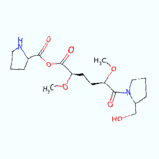 CO[C@H](CC[C@@H](OC)C(=O)N1CCCC1CO)C(=O)OC(=O)C1CCCN1